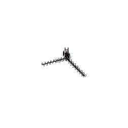 CCCCCCCCCCCCCCCCC1CNCCN1CCCCCCCCCCCCCCCC.I.I